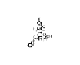 C[C@@H](C1CCC(NC(=O)NCc2ccccc2)CC1)[C@H](N)C(=O)N1CC[C@H](F)C1.O=C(O)C(F)(F)F